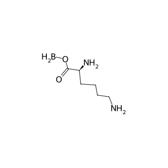 BOC(=O)[C@@H](N)CCCCN